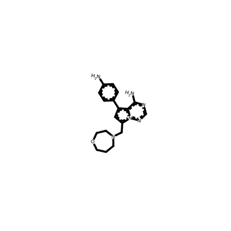 Nc1ccc(-c2cc(CN3CCCOCC3)n3ncnc(N)c23)cc1